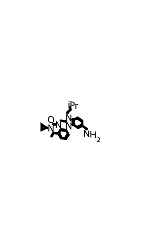 CC(C)CCn1c(CN2C(=O)N(C3CC3)C(C)c3ccccc32)nc2cc(CN)ccc21